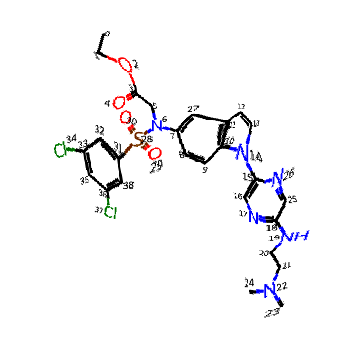 CCOC(=O)CN(c1ccc2c(ccn2-c2cnc(NCCN(C)C)cn2)c1)S(=O)(=O)c1cc(Cl)cc(Cl)c1